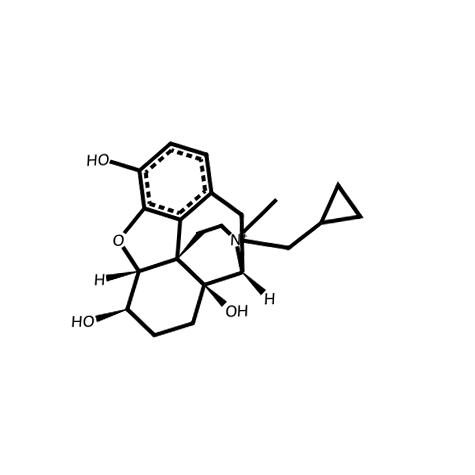 C[N+]1(CC2CC2)CC[C@]23c4c5ccc(O)c4O[C@H]2[C@H](O)CC[C@@]3(O)[C@H]1C5